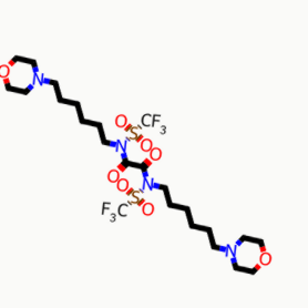 O=C(C(=O)N(CCCCCCN1CCOCC1)S(=O)(=O)C(F)(F)F)N(CCCCCCN1CCOCC1)S(=O)(=O)C(F)(F)F